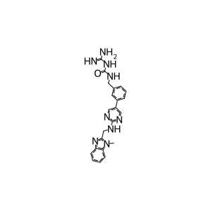 Cn1c(CNc2ncc(-c3cccc(CNC(=O)NC(=N)N)c3)cn2)nc2ccccc21